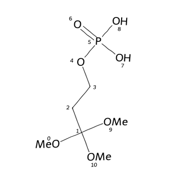 COC(CCOP(=O)(O)O)(OC)OC